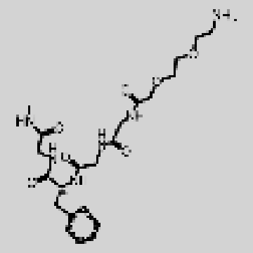 CNC(=O)CNC(=O)[C@H](Cc1ccccc1)NC(=O)CNC(=O)CNC(=O)COCCOCCN